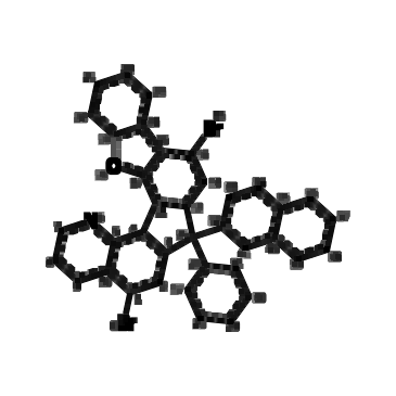 Brc1cc2c(c3ncccc13)-c1c(cc(Br)c3c1oc1ccccc13)C2(c1ccccc1)c1ccc2ccccc2c1